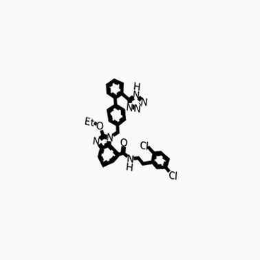 CCOc1nc2cccc(C(=O)NCCc3cc(Cl)ccc3Cl)c2n1Cc1ccc(-c2ccccc2-c2nnn[nH]2)cc1